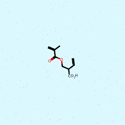 C=CC(COC(=O)C(=C)C)C(=O)O